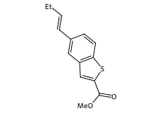 CC/C=C/c1ccc2sc(C(=O)OC)cc2c1